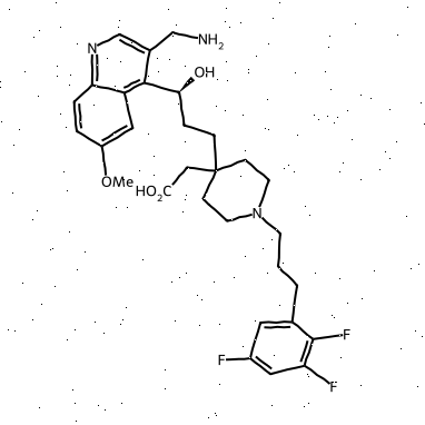 COc1ccc2ncc(CN)c([C@@H](O)CCC3(CC(=O)O)CCN(CCCc4cc(F)cc(F)c4F)CC3)c2c1